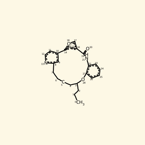 CCCC1CCCCc2cc(ccn2)-c2nc(co2)C(=O)Nc2ccccc2O1